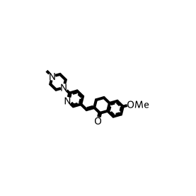 COc1ccc2c(c1)CC/C(=C\c1ccc(N3CCN(C)CC3)nc1)C2=O